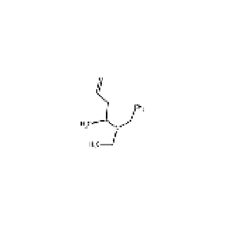 CCN(CC)C(C)C[C]=O